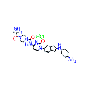 CC(C)(N)C(=O)N1CCN(C(=O)Nc2ccn(-c3ccc4c(c3)CC(N[C@H]3CC[C@H](N)CC3)C4)c(=O)n2)CC1.Cl